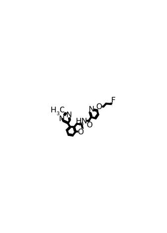 Cc1ncc(-c2cccc3c2C[C@H](NC(=O)c2ccc(OCCCF)nc2)CO3)cn1